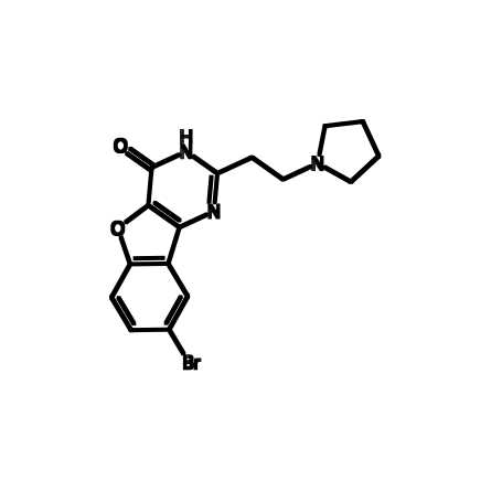 O=c1[nH]c(CCN2CCCC2)nc2c1oc1ccc(Br)cc12